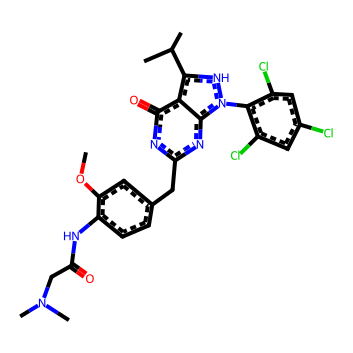 COc1cc(Cc2nc3n(-c4c(Cl)cc(Cl)cc4Cl)[nH]c(C(C)C)c-3c(=O)n2)ccc1NC(=O)CN(C)C